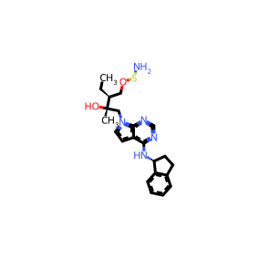 CC[C@@H](COSN)[C@@](C)(O)Cn1ccc2c(N[C@H]3CCc4ccccc43)ncnc21